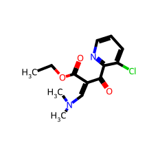 CCOC(=O)C(=CN(C)C)C(=O)c1ncccc1Cl